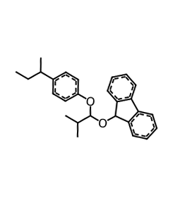 CCC(C)c1ccc(OC(OC2c3ccccc3-c3ccccc32)C(C)C)cc1